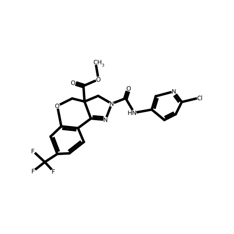 COC(=O)C12COc3cc(C(F)(F)F)ccc3C1=NN(C(=O)Nc1ccc(Cl)nc1)C2